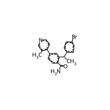 Cc1cnccc1-c1ccc(C(N)=O)c([C@H](C)c2ccc(Br)cc2)c1